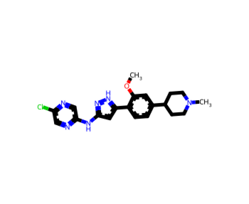 COc1cc(C2CCN(C)CC2)ccc1-c1cc(Nc2cnc(Cl)cn2)n[nH]1